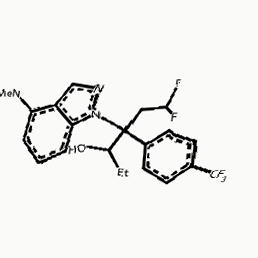 CCC(O)C(CC(F)F)(c1ccc(C(F)(F)F)cc1)n1ncc2c(NC)cccc21